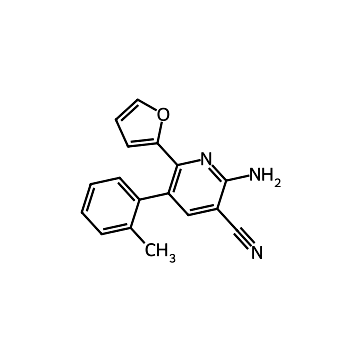 Cc1ccccc1-c1cc(C#N)c(N)nc1-c1ccco1